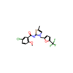 COc1ccc(Cl)cc1C(=O)N=c1sc(C)cn1Cc1ccc(C(F)(F)F)o1